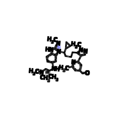 C/N=c1\[nH]c2ccc(N[C@H](C)CN(C)C)cc2n1C(CCCc1c(-c2cc(C=O)cc(C)n2)cnn1C)C1CC1